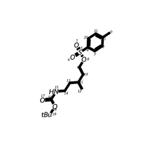 Cc1ccc(S(=O)(=O)OCCC(C)CCNC(=O)OC(C)(C)C)cc1